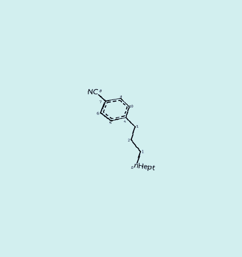 CCCCCCCCCCc1ccc(C#N)cc1